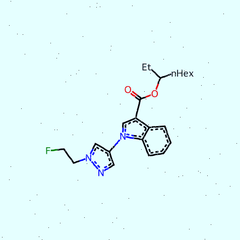 CCCCCCC(CC)OC(=O)c1cn(-c2cnn(CCF)c2)c2ccccc12